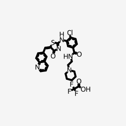 O=C(O)C(F)(F)F.O=C1N=C(Nc2cc(C(=O)NCCN3CCCCC3)ccc2Cl)SC1=Cc1ccc2ncccc2c1